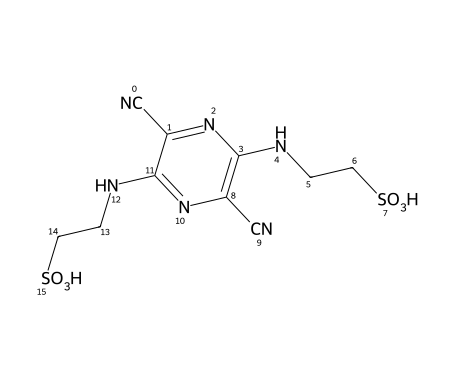 N#Cc1nc(NCCS(=O)(=O)O)c(C#N)nc1NCCS(=O)(=O)O